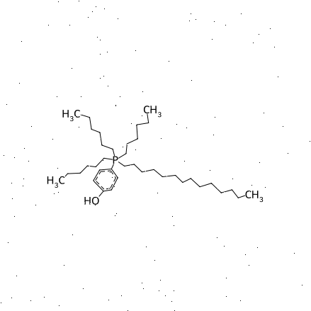 CCCCCCCCCCCCCCP(CCCCCC)(CCCCCC)(CCCCCC)c1ccc(O)cc1